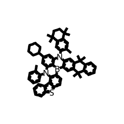 Cc1cc2c(cc1N1c3cc4c(cc3B3c5ccc6sc7ccccc7c6c5N(c5ccccc5C)c5cc(C6CCCCC6)cc1c53)C(C)(C)c1ccccc1C4(C)C)C(C)(C)CCC2(C)C